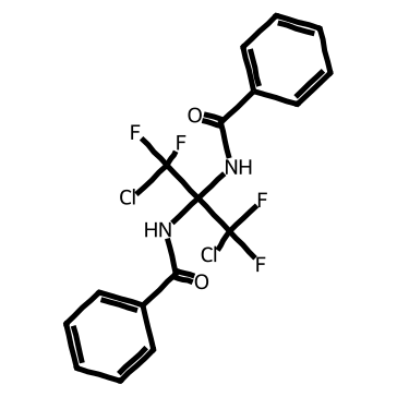 O=C(NC(NC(=O)c1ccccc1)(C(F)(F)Cl)C(F)(F)Cl)c1ccccc1